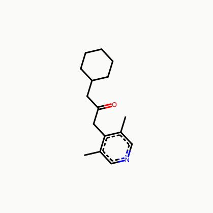 Cc1cncc(C)c1CC(=O)CC1CCCCC1